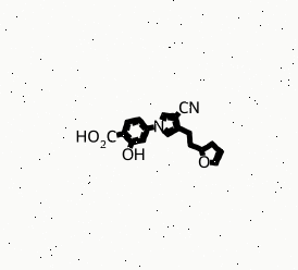 N#Cc1cn(-c2ccc(C(=O)O)c(O)c2)cc1CCC1CC=CO1